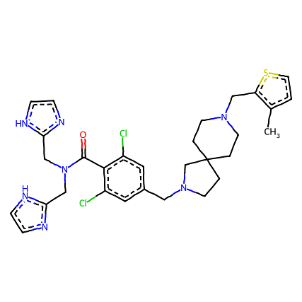 Cc1ccsc1CN1CCC2(CC1)CCN(Cc1cc(Cl)c(C(=O)N(Cc3ncc[nH]3)Cc3ncc[nH]3)c(Cl)c1)C2